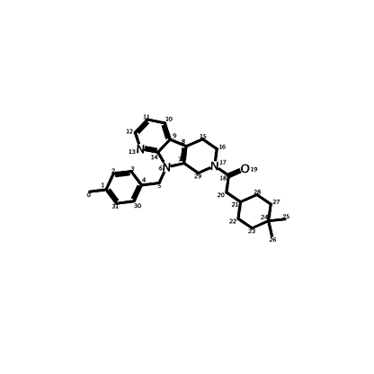 Cc1ccc(Cn2c3c(c4cccnc42)CCN(C(=O)CC2CCC(C)(C)CC2)C3)cc1